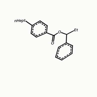 CCCCCCCc1ccc(C(=O)OC(CC)c2ccccc2)cc1